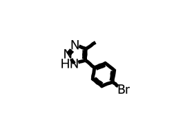 Cc1nn[nH]c1-c1ccc(Br)cc1